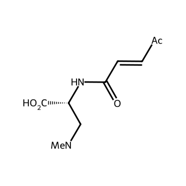 CNC[C@@H](NC(=O)/C=C/C(C)=O)C(=O)O